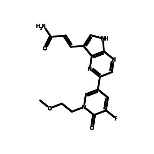 COCCn1cc(-c2cnc3[nH]cc(C=CC(N)=O)c3n2)cc(F)c1=O